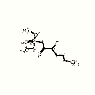 CCCCC(F)C(=O)CP(=O)(OC)OC